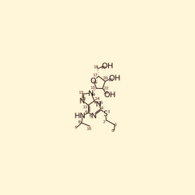 CCCSc1nc(NC(C)C)c2ncn([C@@H]3O[C@H](CO)C(O)C3O)c2n1